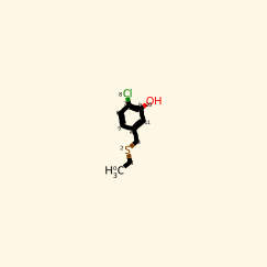 CCSCc1ccc(Cl)c(O)c1